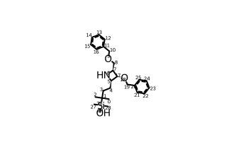 CC(C)(CC[C@H]1N[C@@H](COCc2ccccc2)[C@@H]1OCc1ccccc1)[Si](C)(C)O